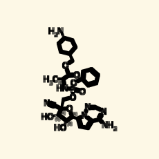 C[C@H](NP(=O)(OC[C@@]1(C#N)O[C@@H](c2ccc3c(N)ncnn23)[C@H](O)[C@@H]1O)Oc1ccccc1)C(=O)OC[C@H]1CC[C@H](N)CC1